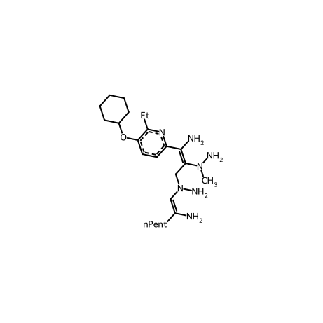 CCCCC/C(N)=C/N(N)C/C(=C(/N)c1ccc(OC2CCCCC2)c(CC)n1)N(C)N